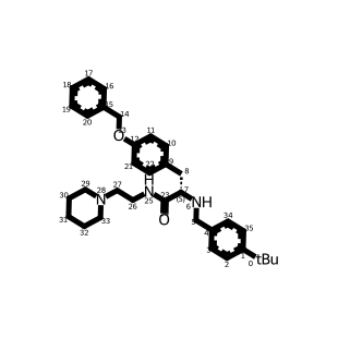 CC(C)(C)c1ccc(CN[C@@H](Cc2ccc(OCc3ccccc3)cc2)C(=O)NCCN2CCCCC2)cc1